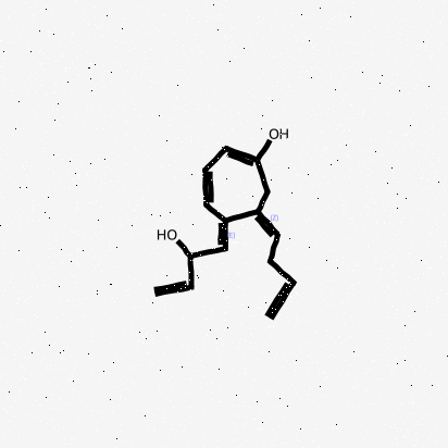 C=CC/C=C1/CC(O)=CC=C/C1=C\C(O)C=C